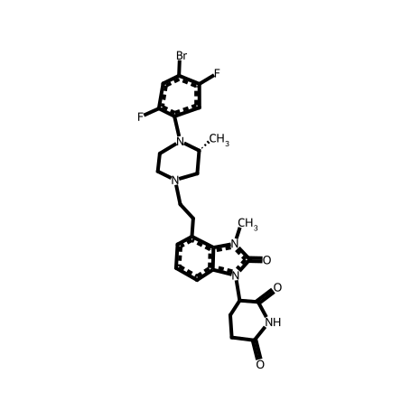 C[C@@H]1CN(CCc2cccc3c2n(C)c(=O)n3C2CCC(=O)NC2=O)CCN1c1cc(F)c(Br)cc1F